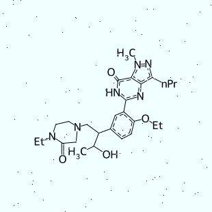 CCCc1nn(C)c2c(=O)[nH]c(-c3cc(C(CN4CCN(CC)C(=O)C4)C(C)O)ccc3OCC)nc12